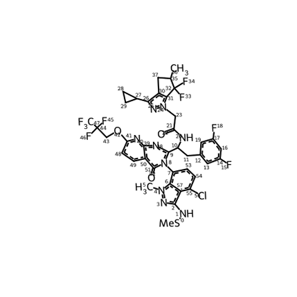 CSNc1nn(C)c2c(-n3c(C(Cc4cc(F)cc(F)c4)NC(=O)Cn4nc(C5CC5)c5c4C(F)(F)C(C)C5)nc4nc(OCC(F)(F)C(F)(F)F)ccc4c3=O)ccc(Cl)c12